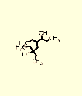 CCC(O)C(CC)CC(O)(CC)CC